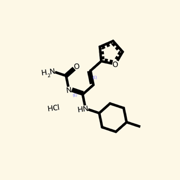 CC1CCC(NC(/C=C/c2ccco2)=N/C(N)=O)CC1.Cl